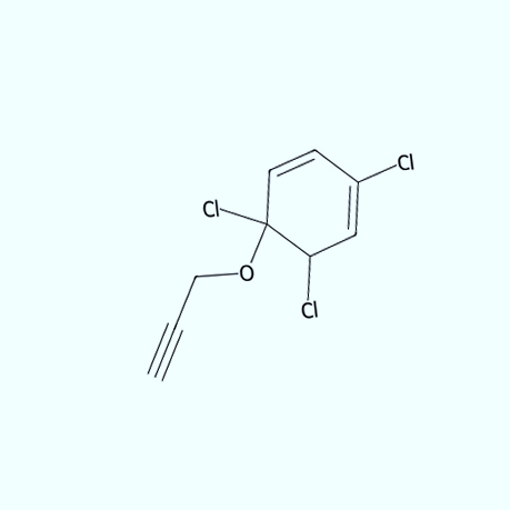 C#CCOC1(Cl)C=CC(Cl)=CC1Cl